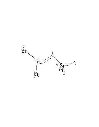 CCC(=C[SiH2]C)CC